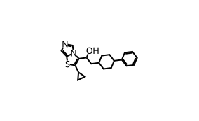 OC(CC1CCC(c2ccccc2)CC1)c1c(C2CC2)sc2cncn12